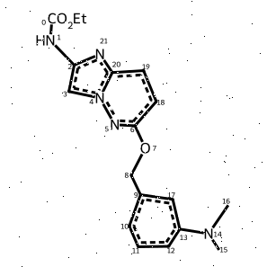 CCOC(=O)Nc1cn2nc(OCc3cccc(N(C)C)c3)ccc2n1